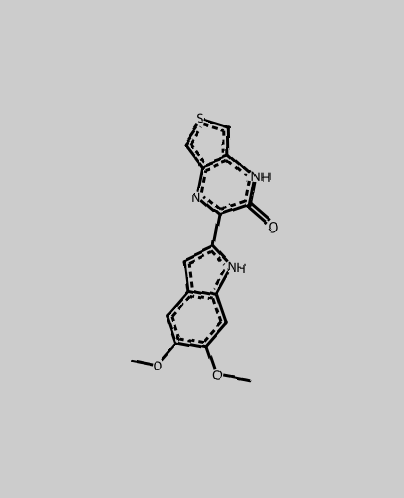 COc1cc2cc(-c3nc4cscc4[nH]c3=O)[nH]c2cc1OC